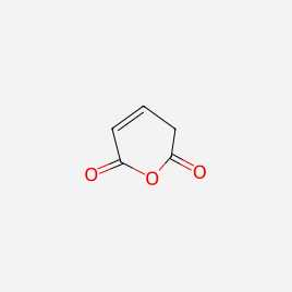 O=C1C=CCC(=O)O1